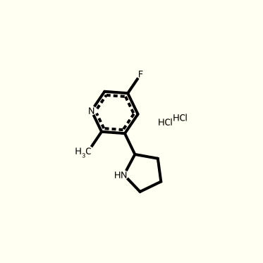 Cc1ncc(F)cc1C1CCCN1.Cl.Cl